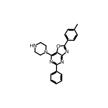 Cc1ccc(-c2nc3nc(-c4ccccc4)nc(N4CCNCC4)c3o2)cc1